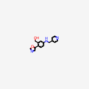 OCc1cc(NCc2ccncc2)ccc1-c1cnco1